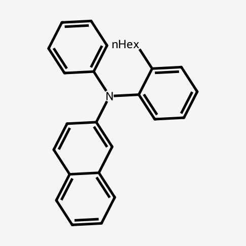 CCCCCCc1ccccc1N(c1ccccc1)c1ccc2ccccc2c1